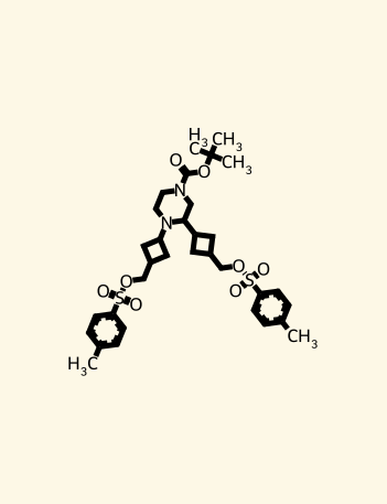 Cc1ccc(S(=O)(=O)OCC2CC(C3CN(C(=O)OC(C)(C)C)CCN3C3CC(COS(=O)(=O)c4ccc(C)cc4)C3)C2)cc1